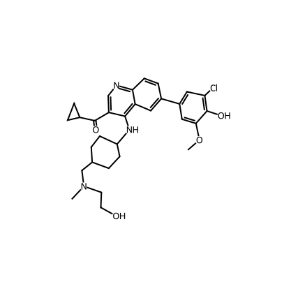 COc1cc(-c2ccc3ncc(C(=O)C4CC4)c(NC4CCC(CN(C)CCO)CC4)c3c2)cc(Cl)c1O